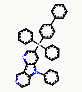 c1ccc(-c2ccc([Si](c3ccccc3)(c3ccccc3)c3cnc4c5cnccc5n(-c5ccccc5)c4c3)cc2)cc1